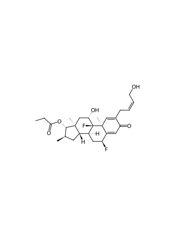 CCC(=O)O[C@H]1[C@H](C)C[C@H]2[C@@H]3C[C@H](F)C4=CC(=O)C(C/C=C\CO)=C[C@]4(C)[C@@]3(F)[C@@H](O)C[C@@]21C